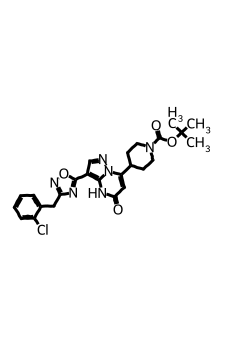 CC(C)(C)OC(=O)N1CCC(c2cc(=O)[nH]c3c(-c4nc(Cc5ccccc5Cl)no4)cnn23)CC1